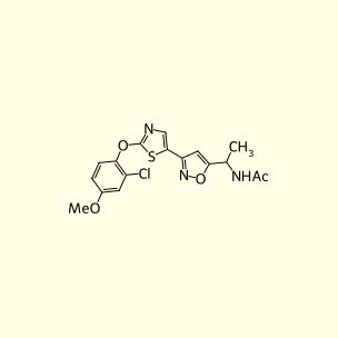 COc1ccc(Oc2ncc(-c3cc(C(C)NC(C)=O)on3)s2)c(Cl)c1